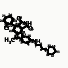 Cn1c2ccc(NCCCN3CCCCC3)cc2c2c3c(c(-c4ccccc4Cl)cc21)C(=O)NC3=O